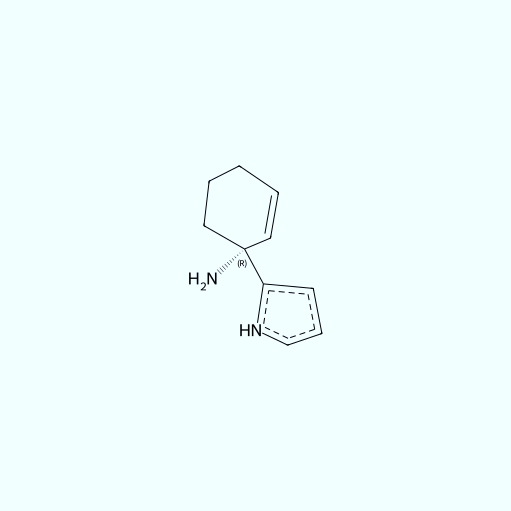 N[C@@]1(c2ccc[nH]2)C=CCCC1